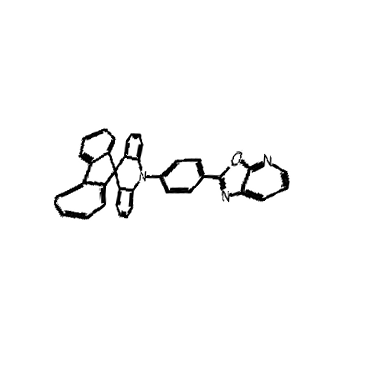 c1ccc2c(c1)-c1ccccc1C21c2ccccc2N(c2ccc(-c3nc4cccnc4o3)cc2)c2ccccc21